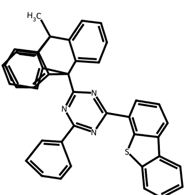 CC12c3ccccc3C(c3nc(-c4ccccc4)nc(-c4cccc5c4sc4ccccc45)n3)(c3ccccc31)c1ccccc12